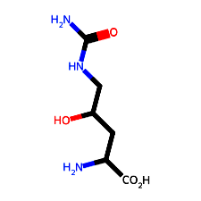 NC(=O)NCC(O)CC(N)C(=O)O